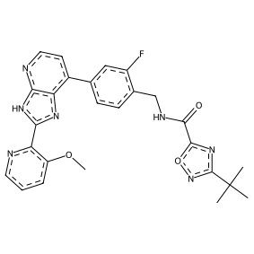 COc1cccnc1-c1nc2c(-c3ccc(CNC(=O)c4nc(C(C)(C)C)no4)c(F)c3)ccnc2[nH]1